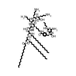 CCCCCCCCCCCCCCCC(=O)N[C@@H](CSCC(COC(=O)CCCCCCCCCCCCCCC)OC(=O)CCCCCCCCCCCCCCC)C(=O)N[C@@H](CO)C(=O)N[C@@H](CCCCNC(=O)c1ccc(Cn2c(O)nc3c(N)nc(NCCCC)nc32)cc1)C(=O)N[C@@H](CCCCN)C(=O)N[C@@H](CCCCN)C(=O)N[C@@H](CCCCN)C(=O)O